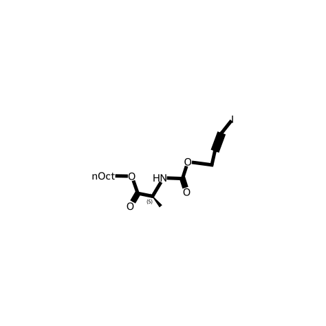 CCCCCCCCOC(=O)[C@H](C)NC(=O)OCC#CI